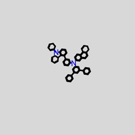 C1=CCCC(N2c3cccc(-c4cccc(N(c5cc(-c6ccccc6)cc(-c6ccccc6)c5)c5ccc6c7c(ccc6c5)CCC=C7)c4)c3C3C=CC=CC32)=C1